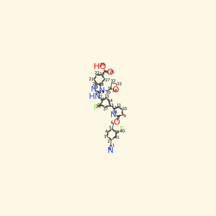 N#Cc1ccc(COc2cccc(-c3ccc(Nc4nc5ccc(C(=O)O)cc5n4CC4CCO4)c(F)c3)n2)c(F)c1